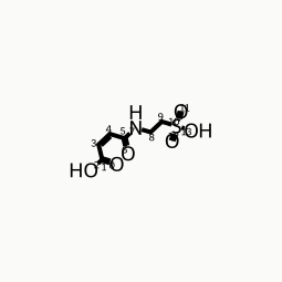 O=C(O)/C=C\C(=O)NCCS(=O)(=O)O